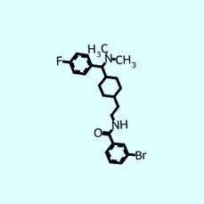 CN(C)C(c1ccc(F)cc1)C1CCC(CCNC(=O)c2cccc(Br)c2)CC1